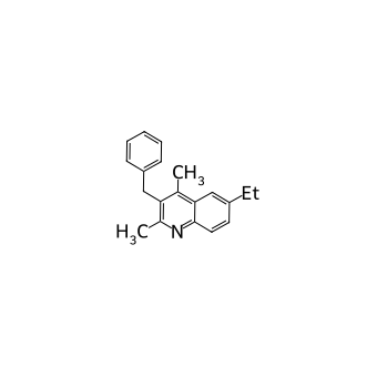 [CH2]Cc1ccc2nc(C)c(Cc3ccccc3)c(C)c2c1